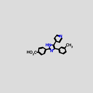 Cc1cccc(-c2nc(-c3ccc(C(=O)O)cc3)[nH]c2-c2ccncc2)c1